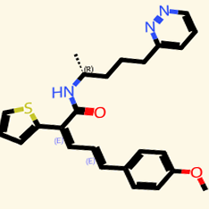 COc1ccc(/C=C/C=C(\C(=O)N[C@H](C)CCCc2cccnn2)c2cccs2)cc1